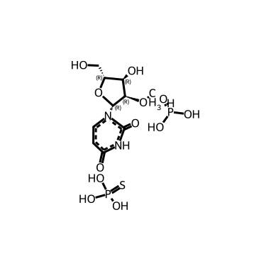 CO[C@@H]1[C@H](O)[C@@H](CO)O[C@H]1n1ccc(=O)[nH]c1=O.O=[PH](O)O.OP(O)(O)=S